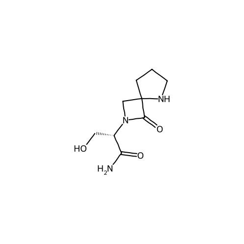 NC(=O)[C@H](CO)N1CC2(CCCN2)C1=O